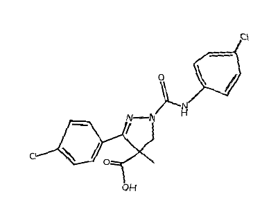 CC1(C(=O)O)CN(C(=O)Nc2ccc(Cl)cc2)N=C1c1ccc(Cl)cc1